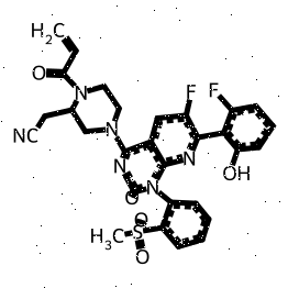 C=CC(=O)N1CCN(c2nc(=O)n(-c3ccccc3S(C)(=O)=O)c3nc(-c4c(O)cccc4F)c(F)cc23)CC1CC#N